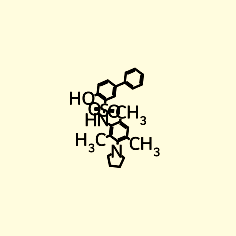 Cc1cc(C)c(N2CCCC2)c(C)c1NS(=O)(=O)c1cc(-c2ccccc2)ccc1O